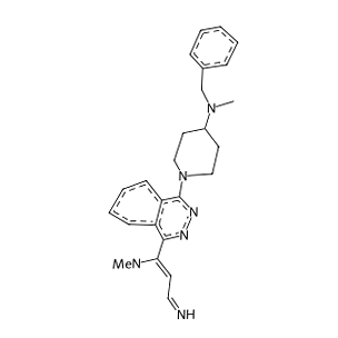 CN/C(=C\C=N)c1nnc(N2CCC(N(C)Cc3ccccc3)CC2)c2ccccc12